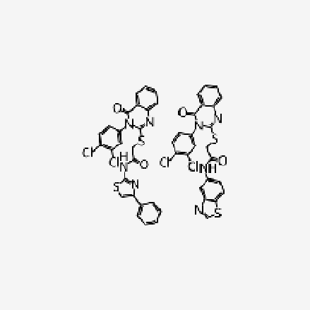 O=C(CSc1nc2ccccc2c(=O)n1-c1ccc(Cl)c(Cl)c1)Nc1ccc2scnc2c1.O=C(CSc1nc2ccccc2c(=O)n1-c1ccc(Cl)c(Cl)c1)Nc1nc(-c2ccccc2)cs1